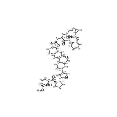 C=CCCN(Cc1nc2c([nH]1)-c1cc3c(cc1CC2)-c1ccc(-c2cnc([C@@H]4CCCN4C(=O)[C@H](C=C)NC(=O)OC)[nH]2)cc1CO3)C(=O)[C@H](NC(=O)C1CC1)c1ccccc1